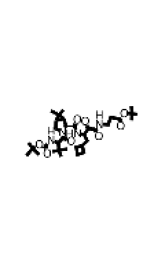 CC(C)(C)OC(=O)CCNC(=O)C(=O)C(CC1CCC1)NC(=O)[C@@H]1C2C(CN1C(=O)C(NC(=O)OC(C)(C)C)C(C)(C)C)C2(C)C